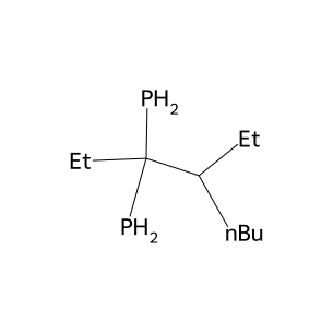 CCCCC(CC)C(P)(P)CC